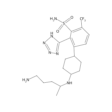 CC(CCCN)NC1CCC(c2ccc(C(F)(F)F)c(S(N)(=O)=O)c2-c2nnn[nH]2)CC1